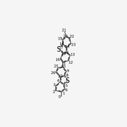 Cc1ccc2c(c1)sc1cc(-c3ccc4c(c3)sc3cc(C)ccc34)ccc12